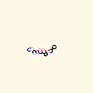 CN1CC(c2cc(F)cc(N3CCc4c(sc5c4CCCC5)C3=O)c2CO)=CC(Nc2ccc([C@H]3CCCN3C)cn2)C1=O